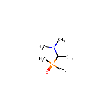 CC(N(C)C)P(C)(C)=O